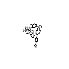 Cc1ccc(C(=O)N2CCC(c3ccc(C#N)cc3)CC2)cc1NC(=O)NC(C)c1cccnc1